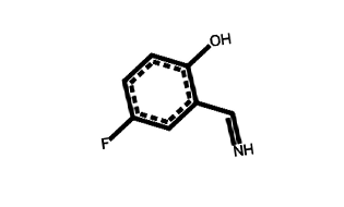 N=Cc1cc(F)ccc1O